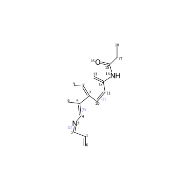 C=C/C=N\C=C(/C)C(=CC)/C=C\C(=C)NC(=O)CC